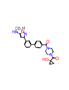 O=C(O)Nc1cc(-c2cccc(-c3ccc(C(=O)N4CCN(C(=O)C5(O)CC5)CC4)cc3)c2)no1